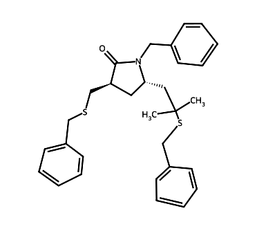 CC(C)(C[C@@H]1C[C@@H](CSCc2ccccc2)C(=O)N1Cc1ccccc1)SCc1ccccc1